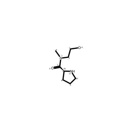 CN(CC[O])C(=O)[C@@H]1CCCN1